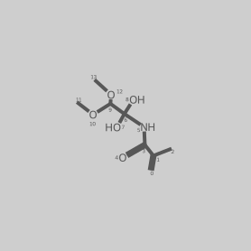 C=C(C)C(=O)NC(O)(O)C(OC)OC